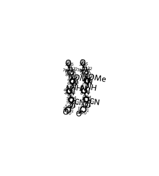 COc1nc(Nc2nccc(-c3ccc(OC4CCC(=O)CC4)c(C#N)c3)n2)ccc1N1C[C@@H](C)N(C2COC2)[C@@H](C)C1.COc1nc(Nc2nccc(-c3ccc(OC4CCOCC4)c(C#N)c3)n2)ccc1N1C[C@@H](C)N(C2COC2)[C@@H](C)C1